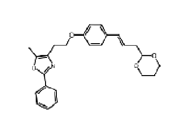 Cc1oc(-c2ccccc2)nc1CCOc1ccc(C=CCC2OCCCO2)cc1